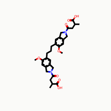 COc1cc2c(cc1CCCc1cc3c(cc1OC)CN(C(=O)CC(C)C(=O)O)C3)CN(C(=O)CC(C)C(=O)O)C2